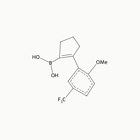 COc1ccc(C(F)(F)F)cc1C1=C(B(O)O)CCC1